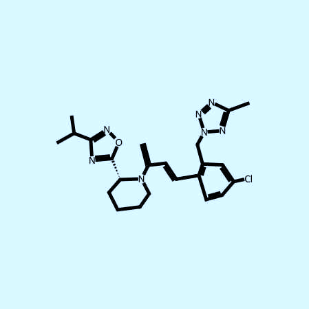 C=C(/C=C/c1ccc(Cl)cc1Cn1nnc(C)n1)N1CCCC[C@@H]1c1nc(C(C)C)no1